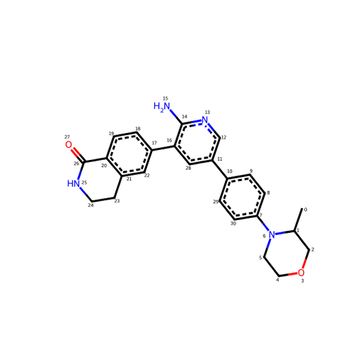 CC1COCCN1c1ccc(-c2cnc(N)c(-c3ccc4c(c3)CCNC4=O)c2)cc1